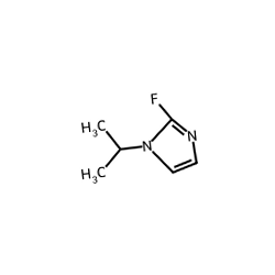 CC(C)n1ccnc1F